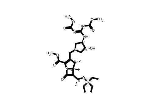 CC[Si](CC)(CC)O[C@H](C)C1C(=O)N2C(C(=O)OP)=C(CN3C[C@@H](O)[C@H](NC(=NC(=O)OP)NC(=O)OP)C3)[C@H](C)[C@H]12